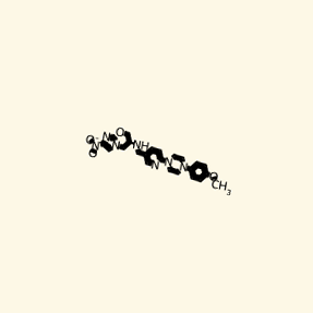 COc1ccc(N2CCN(c3ccc(CN[C@@H]4COc5nc([N+](=O)[O-])cn5C4)cn3)CC2)cc1